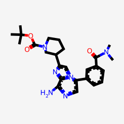 CN(C)C(=O)c1cccc(-c2cnc(N)c3nc(C4CCCN(C(=O)OC(C)(C)C)C4)cn23)c1